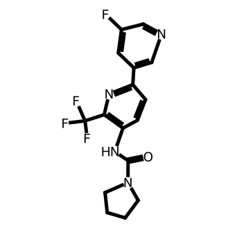 O=C(Nc1ccc(-c2cncc(F)c2)nc1C(F)(F)F)N1CCCC1